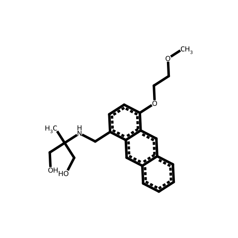 COCCOc1ccc(CNC(C)(CO)CO)c2cc3ccccc3cc12